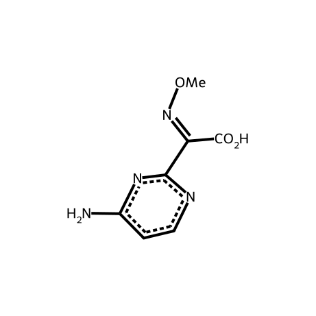 CON=C(C(=O)O)c1nccc(N)n1